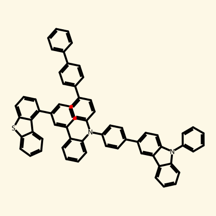 c1ccc(-c2ccc(-c3ccc(N(c4ccc(-c5ccc6c(c5)c5ccccc5n6-c5ccccc5)cc4)c4ccccc4-c4cccc(-c5cccc6sc7ccccc7c56)c4)cc3)cc2)cc1